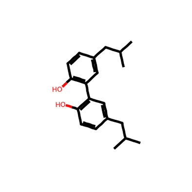 CC(C)Cc1ccc(O)c(-c2cc(CC(C)C)ccc2O)c1